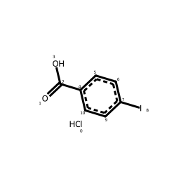 Cl.O=C(O)c1ccc(I)cc1